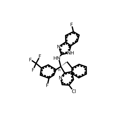 Fc1cc(C(F)(F)F)cc([C@@](Cc2ccccc2)(Nc2nc3cc(F)ccc3[nH]2)c2ccc(Cl)cn2)c1